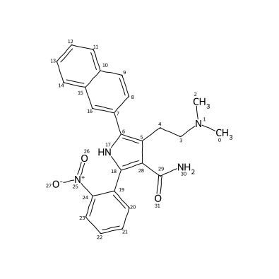 CN(C)CCc1c(-c2ccc3ccccc3c2)[nH]c(-c2ccccc2[N+](=O)[O-])c1C(N)=O